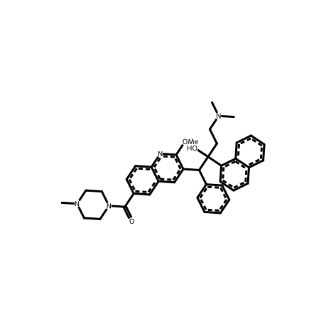 COc1nc2ccc(C(=O)N3CCN(C)CC3)cc2cc1C(c1ccccc1)C(O)(CCN(C)C)c1cccc2ccccc12